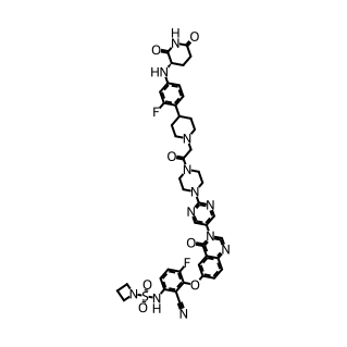 N#Cc1c(NS(=O)(=O)N2CCC2)ccc(F)c1Oc1ccc2ncn(-c3cnc(N4CCN(C(=O)CN5CCC(c6ccc(N[C@@H]7CCC(=O)NC7=O)cc6F)CC5)CC4)nc3)c(=O)c2c1